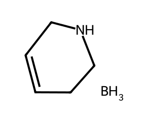 B.C1=CCNCC1